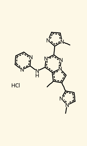 Cc1c(-c2ccn(C)n2)cn2nc(-c3nccn3C)nc(Nc3ncccn3)c12.Cl